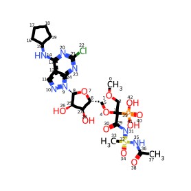 COCC(OC[C@H]1O[C@@H](n2ncc3c(NC4CCCC4)nc(Cl)nc32)[C@H](O)[C@@H]1O)(C(=O)N=S(C)(=O)NC(C)=O)P(=O)(O)O